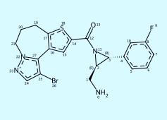 NC[C@@H]1[C@@H](c2cccc(F)c2)N1C(=O)c1cc2c(s1)CCCn1ncc(Br)c1-2